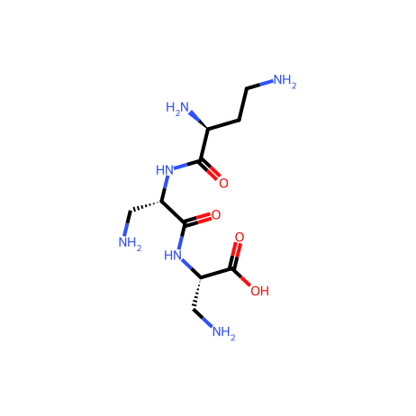 NCC[C@H](N)C(=O)N[C@@H](CN)C(=O)N[C@@H](CN)C(=O)O